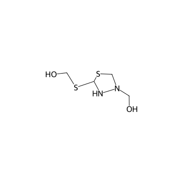 OCSC1NN(CO)CS1